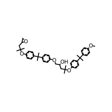 COc1ccc(C(C)(C)c2ccc(OC(C)(C)CC(O)COc3ccc(C(C)(C)c4ccc(OC(C)(C)CC5CO5)cc4)cc3)cc2)cc1